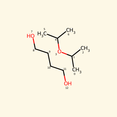 CC(C)OC(C)C.OCCCCO